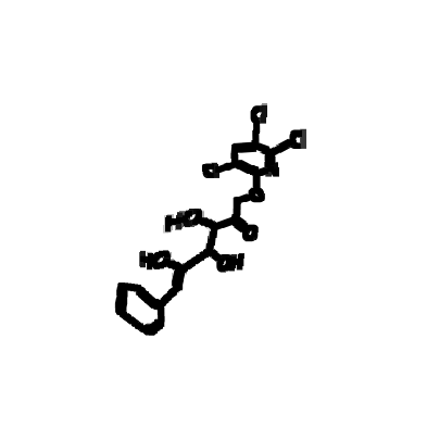 O=C(COc1nc(Cl)c(Cl)cc1Cl)C(O)C(O)C(O)=Cc1ccccc1